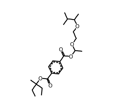 CCC(C)(CC)OC(=O)c1ccc(C(=O)OC(C)OCCOC(C)C(C)C)cc1